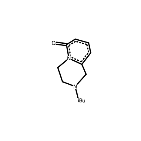 CCC(C)N1CCn2c(cccc2=O)C1